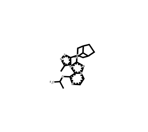 Cc1cc(N2CC3CCC(C2)C3Nc2nc3c(OC(C)C(F)(F)F)nccn3n2)sn1